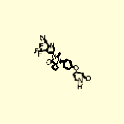 C=C1N(c2cnc(C#N)c(C(F)(F)F)c2)C(=O)C2(CCC2)N1c1ccc(OC2CCNC(=O)C2)cc1